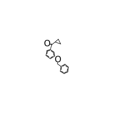 O=C(c1cccc(OCc2ccccc2)c1)C1CC1